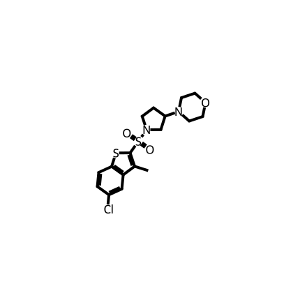 Cc1c(S(=O)(=O)N2CCC(N3CCOCC3)C2)sc2ccc(Cl)cc12